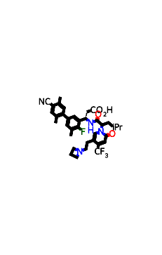 Cc1cc(-c2cc(C)c(F)c([C@H](CC(=O)O)NC(=O)C(CC(C)C)n3cc(CCN4CCC4)c(C(F)(F)F)cc3=O)c2)c(C)cc1C#N